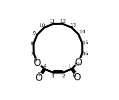 O=C1C=CC(=O)OCCCCCCCCCCO1